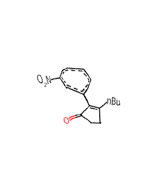 CCCCC1=C(c2cccc([N+](=O)[O-])c2)C(=O)CC1